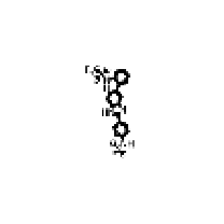 CS(=O)(=O)Nc1ccc(-c2nc3cc(-c4ccccc4NS(=O)(=O)C(F)(F)F)ccc3[nH]2)cc1